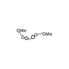 COCCCCOc1ccc(Cc2ccc(OCCCCOC)cc2)cc1